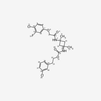 CC1(NC(=O)COc2ccc(Cl)c(F)c2)CC(C)(NC(=O)OCCc2cccc(Cl)c2)C1